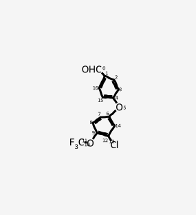 O=Cc1ccc(Oc2ccc(OC(F)(F)F)c(Cl)c2)cc1